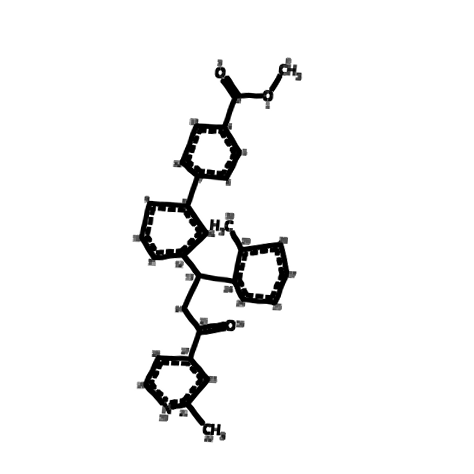 COC(=O)c1ccc(-c2cccc(C(CC(=O)c3ccnc(C)c3)c3ccccc3C)c2)cc1